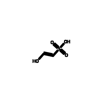 O=S(=O)(O)/C=C/O